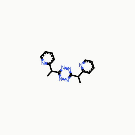 CC(c1ccccn1)c1nnc(C(C)c2ccccn2)nn1